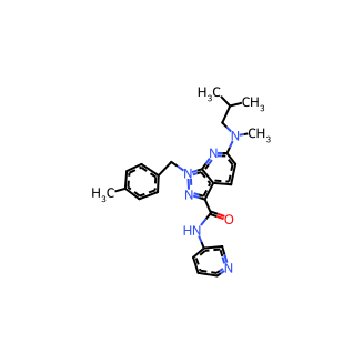 Cc1ccc(Cn2nc(C(=O)Nc3cccnc3)c3ccc(N(C)CC(C)C)nc32)cc1